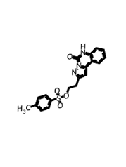 Cc1ccc(S(=O)(=O)OCCc2cc3c4ccccc4[nH]c(=O)n3n2)cc1